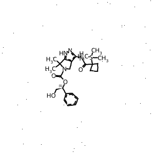 CC1(C)c2[nH]nc(NC(=O)C3(S(C)(C)C)CCC3)c2CN1C(=O)O[C@H](CO)c1ccccc1